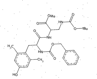 COC(=O)C(CNC(=O)OC(C)(C)C)NC(=O)C(Cc1c(C)cc(O)cc1C)NC(=O)OCc1ccccc1